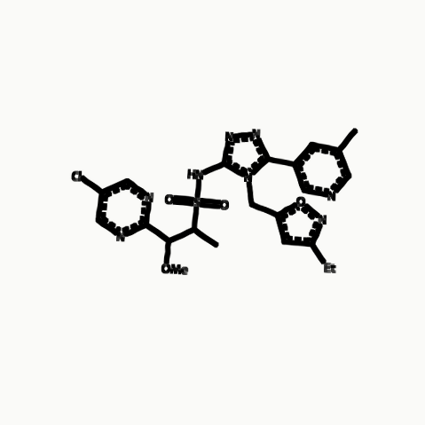 CCc1cc(Cn2c(NS(=O)(=O)C(C)C(OC)c3ncc(Cl)cn3)nnc2-c2cncc(C)c2)on1